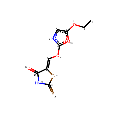 CCOc1cnc(OC=C2SC(=S)NC2=O)o1